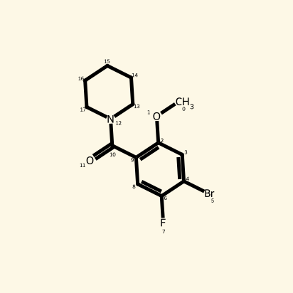 COc1cc(Br)c(F)cc1C(=O)N1CCCCC1